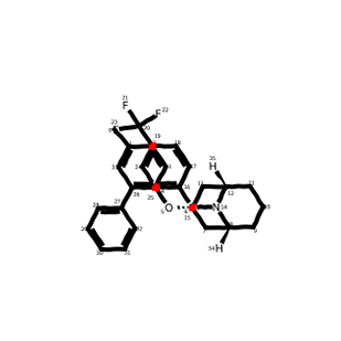 Cc1ccc(O[C@H]2C[C@H]3CCC[C@@H](C2)N3Oc2ccc(C(F)(F)F)cn2)c(-c2ccccc2)c1